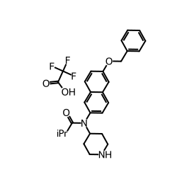 CC(C)C(=O)N(c1ccc2cc(OCc3ccccc3)ccc2c1)C1CCNCC1.O=C(O)C(F)(F)F